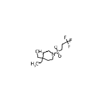 CCC1(CC)CCN(S(=O)(=O)CCC(F)(F)F)CC1